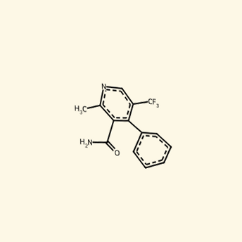 Cc1ncc(C(F)(F)F)c(-c2ccccc2)c1C(N)=O